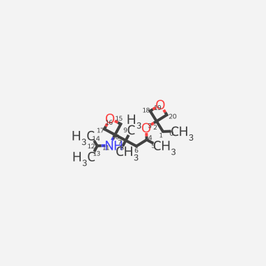 CCC1(OC(C)CC(C)(C)C2(NC(C)C)COC2)COC1